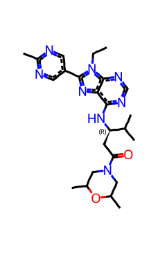 CCn1c(-c2cnc(C)nc2)nc2c(N[C@H](CC(=O)N3CC(C)OC(C)C3)C(C)C)ncnc21